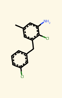 Cc1cc(N)c(Cl)c(Cc2cccc(Cl)c2)c1